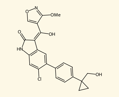 COc1nocc1C(O)=C1C(=O)Nc2cc(Cl)c(-c3ccc(C4(CO)CC4)cc3)cc21